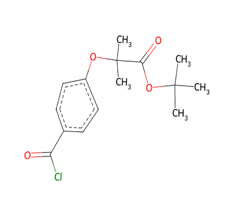 CC(C)(C)OC(=O)C(C)(C)Oc1ccc(C(=O)Cl)cc1